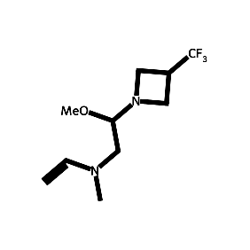 C=CN(C)CC(OC)N1CC(C(F)(F)F)C1